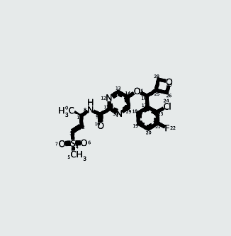 C[C@H](/C=C/S(C)(=O)=O)NC(=O)c1ncc(OC(c2cccc(F)c2Cl)C2COC2)cn1